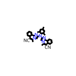 Cc1cc(C)c(N(c2cn3c(C)c(C#N)c4ccccc4c3n2)c2cn3c(C)c(C#N)c4ccccc4c3n2)c(C)c1